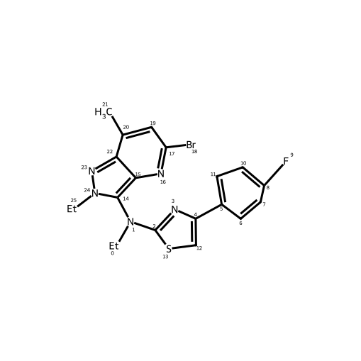 CCN(c1nc(-c2ccc(F)cc2)cs1)c1c2nc(Br)cc(C)c2nn1CC